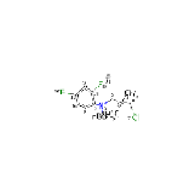 CCCCN(CC(C)(C)CCl)c1ccc(F)[c]c1F.[Ti]